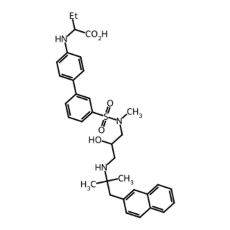 CCC(Nc1ccc(-c2cccc(S(=O)(=O)N(C)CC(O)CNC(C)(C)Cc3ccc4ccccc4c3)c2)cc1)C(=O)O